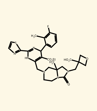 CCOC(=O)C1=C(CN2CCN3C(=O)N(CC4(C(=O)O)COC4)CC3(C)C2)NC(c2nccs2)=NC1c1cccc(F)c1C